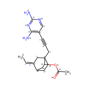 C/C=C1\CC2(CC#Cc3cnc(N)nc3N)CCC1CC2OC(C)=O